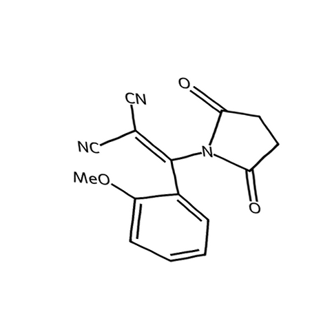 COc1ccccc1C(=C(C#N)C#N)N1C(=O)CCC1=O